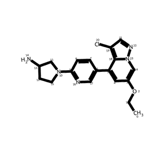 CCOc1cc(-c2ccc(N3CCC(N)C3)nc2)c2c(Cl)cnn2c1